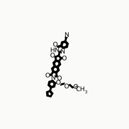 COCCOCCOc1cc(C2=CCC=C2)ccc1N1C(=O)c2cc3cc4c(cc3cc2C1=O)C(=O)C(c1nc2ccc(C#N)cc2c(=O)[nH]1)C4=O